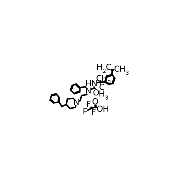 C=C(C)c1cccc(C(C)(C)NC(=O)N(CCCN2CCC(Cc3ccccc3)CC2)Cc2ccccc2)c1.O=C(O)C(F)(F)F